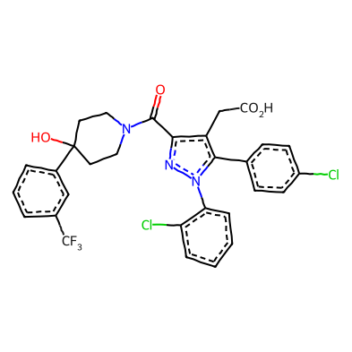 O=C(O)Cc1c(C(=O)N2CCC(O)(c3cccc(C(F)(F)F)c3)CC2)nn(-c2ccccc2Cl)c1-c1ccc(Cl)cc1